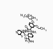 CCOc1cc(C(Nc2ccc(C(=N)N)cc2)C(=O)NNC(=O)c2ccncc2F)ccc1OC(C)CN(C)C